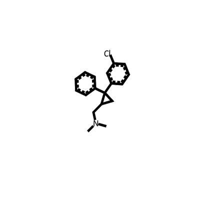 CN(C)CC1CC1(c1ccccc1)c1cccc(Cl)c1